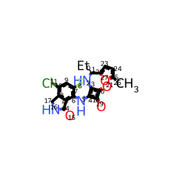 CC[C@@H](Nc1c(Nc2c(F)cc(Cl)c3c2C(=O)NC3)c(=O)c1=O)c1ccc(C)o1